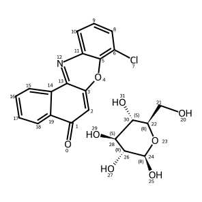 O=c1cc2oc3c(Cl)cccc3nc-2c2ccccc12.OC[C@H]1O[C@@H](O)[C@H](O)[C@@H](O)[C@@H]1O